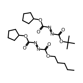 CC(C)(C)OC(=O)N=NC(=O)OC1CCCC1.CCCCCOC(=O)N=NC(=O)OC1CCCC1